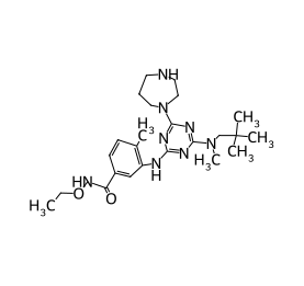 CCONC(=O)c1ccc(C)c(Nc2nc(N(C)CC(C)(C)C)nc(N3CCCNCC3)n2)c1